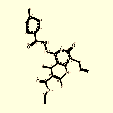 C=CCn1c2c(c(NNC(=O)c3ccc(C)cc3)nc1=O)C(C)C(C(=O)OCC)=C(C)N2